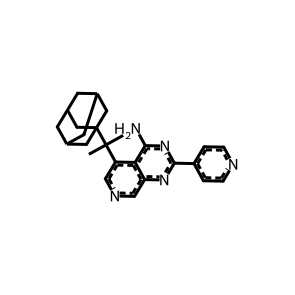 CC(C)(c1cncc2nc(-c3ccncc3)nc(N)c12)C12CC3CC(CC(C3)C1)C2